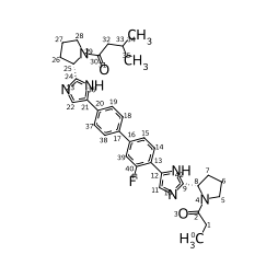 CCC(=O)N1CCC[C@H]1c1ncc(-c2ccc(-c3ccc(-c4cnc([C@@H]5CCCN5C(=O)CC(C)C)[nH]4)cc3)cc2F)[nH]1